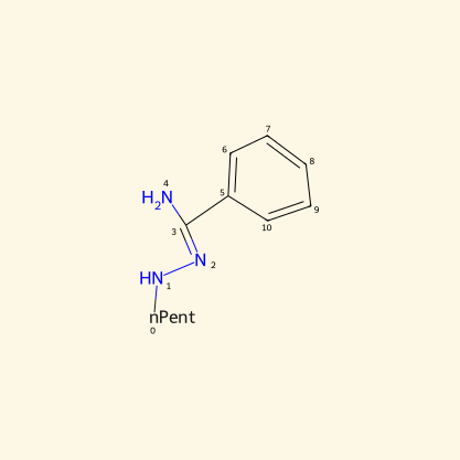 CCCCCNN=C(N)c1ccccc1